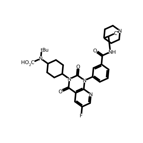 CC(C)(C)N(C(=O)O)C1CCC(n2c(=O)c3cc(F)cnc3n(-c3cccc(C(=O)NC4CN5CCC4CC5)c3)c2=O)CC1